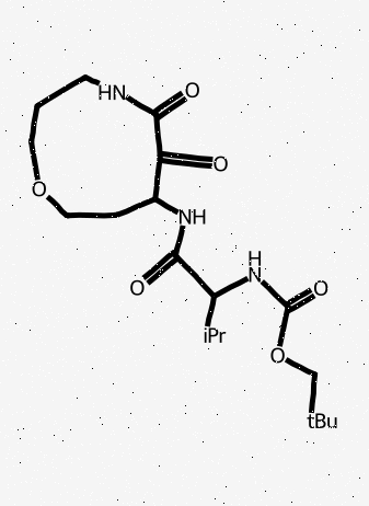 CC(C)C(NC(=O)OCC(C)(C)C)C(=O)NC1CCOCCCNC(=O)C1=O